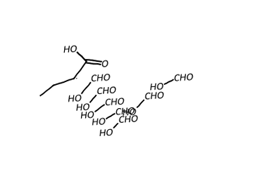 CC[CH]C(=O)O.O=CO.O=CO.O=CO.O=CO.O=CO.O=CO.O=CO